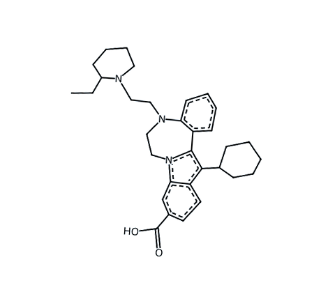 CCC1CCCCN1CCN1CCn2c(c(C3CCCCC3)c3ccc(C(=O)O)cc32)-c2ccccc21